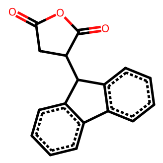 O=C1CC(C2c3ccccc3-c3ccccc32)C(=O)O1